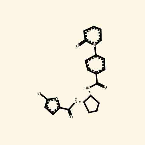 O=C(N[C@@H]1CCC[C@@H]1NC(=O)c1ccc(Cl)s1)c1ccc(-n2ccccc2=O)cc1